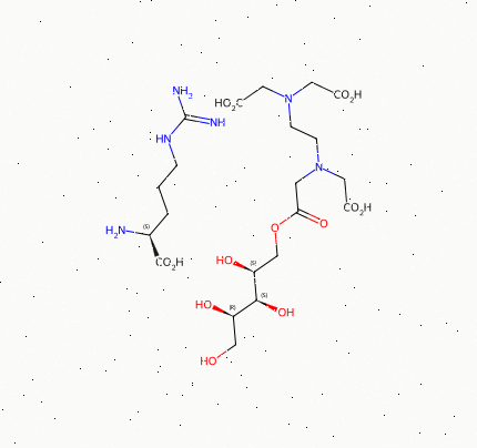 N=C(N)NCCC[C@H](N)C(=O)O.O=C(O)CN(CCN(CC(=O)O)CC(=O)OC[C@H](O)[C@@H](O)[C@H](O)CO)CC(=O)O